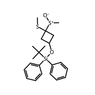 CSC1([S+](C)[O-])CC(O[Si](c2ccccc2)(c2ccccc2)C(C)(C)C)C1